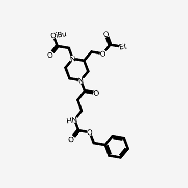 CCC(=O)OCC1CN(C(=O)CCNC(=O)OCc2ccccc2)CCN1CC(=O)OCC(C)C